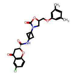 Cc1cc(C)cc(OCC2CN(C34CC(NC(=O)[C@H]5CC(=O)c6cc(Cl)ccc6O5)(C3)C4)C(=O)O2)c1